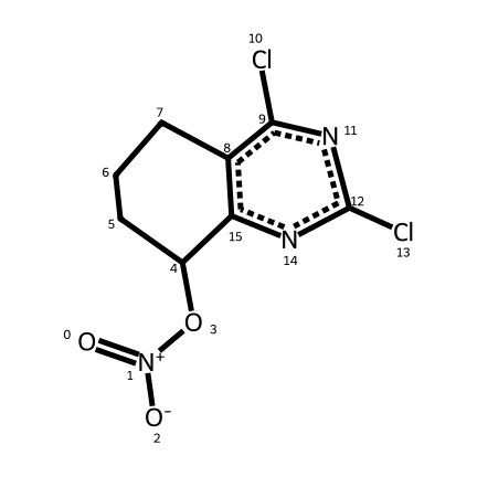 O=[N+]([O-])OC1CCCc2c(Cl)nc(Cl)nc21